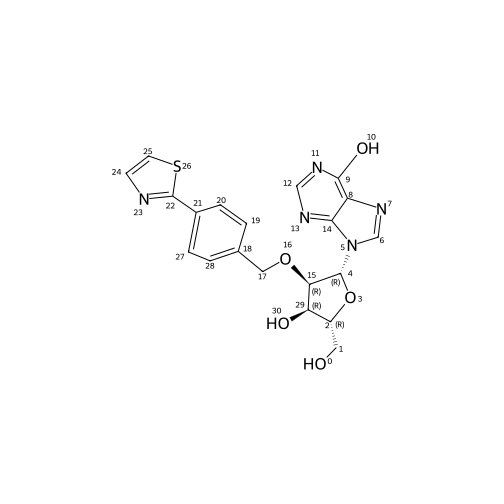 OC[C@H]1O[C@@H](n2cnc3c(O)ncnc32)[C@H](OCc2ccc(-c3nccs3)cc2)[C@@H]1O